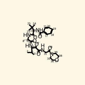 CC(C)[C@H](NC(=O)[C@H](C)NC(=O)[C@@H](NC(=O)c1ccccc1)C(C)(C)C)C(=O)C(=O)NCC(=O)N1CCOCC1